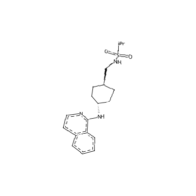 CC(C)S(=O)(=O)NC[C@H]1CC[C@H](Nc2nccc3ccccc23)CC1